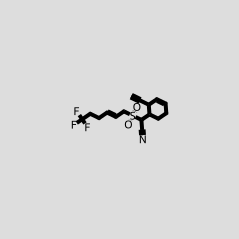 C#CC1C=CCCC1C(C#N)S(=O)(=O)CC=CCCC(F)(F)F